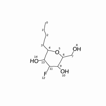 CCCCC1OC(CO)C(O)C(F)C1O